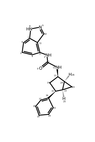 O=C(Nc1cccc2[nH]ncc12)N[C@@H]1C[C@H](c2ccccc2)[C@@H]2C[C@@H]21